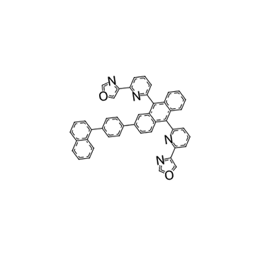 c1cc(-c2cocn2)nc(-c2c3ccccc3c(-c3cccc(-c4cocn4)n3)c3cc(-c4ccc(-c5cccc6ccccc56)cc4)ccc23)c1